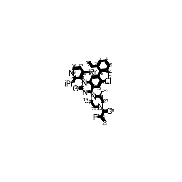 C=Cc1cccc(F)c1-c1cc2c(cc1Cl)c(N1[C@@H](C)CN(C(=O)C(=C)F)C[C@@H]1C)nc(=O)n2-c1c(C(C)C)ccnc1C(C)C